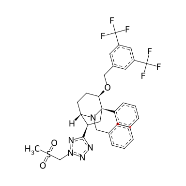 CS(=O)(=O)Cn1nnc([C@@H]2C[C@@]3(c4ccccc4)[C@H](OCc4cc(C(F)(F)F)cc(C(F)(F)F)c4)CC[C@@H]2N3Cc2ccccc2)n1